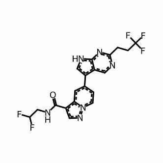 O=C(NCC(F)F)c1cnn2ccc(-c3c[nH]c4nc(CCC(F)(F)F)ncc34)cc12